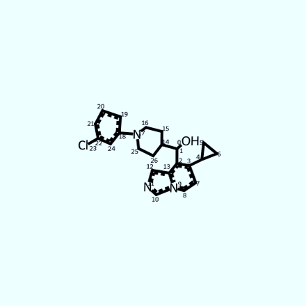 OC(c1c(C2CC2)ccn2cncc12)C1CCN(c2cccc(Cl)c2)CC1